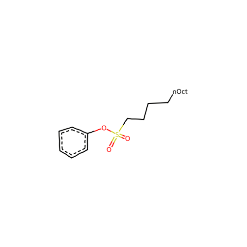 CCCCCCCCCCCCS(=O)(=O)Oc1ccccc1